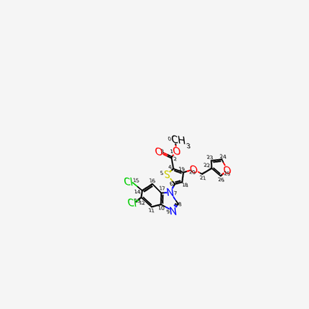 COC(=O)c1sc(-n2cnc3cc(Cl)c(Cl)cc32)cc1OCc1ccoc1